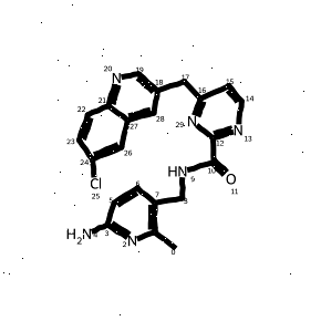 Cc1nc(N)ccc1CNC(=O)c1nccc(Cc2cnc3ccc(Cl)cc3c2)n1